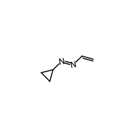 C=CN=NC1CC1